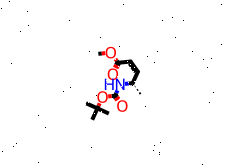 COC(=O)/C=C\[C@H](C)NC(=O)OC(C)(C)C